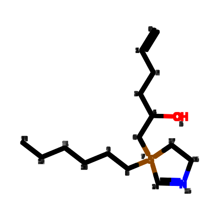 C=CCCC(O)CS1(CCCCCC)C=NCC1